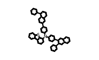 c1ccc(-c2cc3ccccc3cc2-c2ccc(N(c3ccc(-c4ccc5c(-c6ccccc6)cccc5c4)cc3)c3cccc4c3sc3ccccc34)cc2)cc1